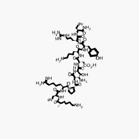 CC(C)C[C@H](NC(=O)[C@H](CCCNC(=N)N)NC(=O)[C@H](Cc1ccc(O)cc1)NC(=O)[C@H](CCCCN)NC(=O)[C@H](CC(=O)O)NC(=O)[C@@H](NC(=O)[C@H](CN)NC(=O)[C@@H]1CCCN1C(=O)[C@H](CCCCC(=N)N)NC(=O)[C@H](CC(C)C)NC(=O)[C@@H](C)CCCCN)[C@@H](C)O)C(N)=O